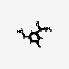 Cc1cc(CO)cc(C(N)=O)c1